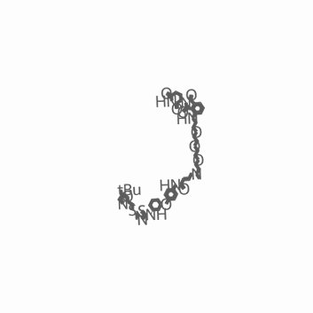 CN(C/C=C/C(=O)Nc1ccc(OC2CCC[C@@H](Nc3ncc(SCc4ncc(C(C)(C)C)o4)s3)C2)cc1)CCOCCOCCOCCNc1cccc2c1C(=O)N(C1CCC(=O)NC1=O)C2=O